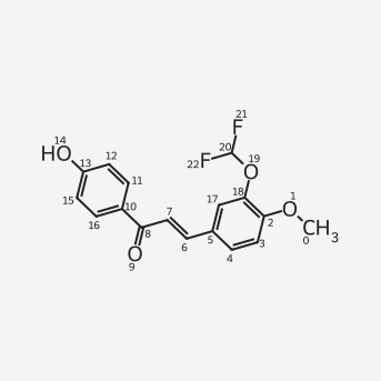 COc1ccc(C=CC(=O)c2ccc(O)cc2)cc1OC(F)F